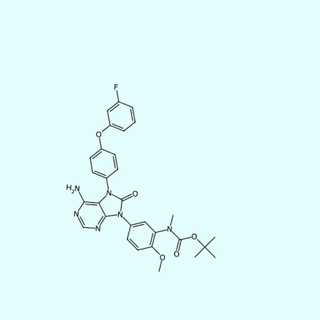 COc1ccc(-n2c(=O)n(-c3ccc(Oc4cccc(F)c4)cc3)c3c(N)ncnc32)cc1N(C)C(=O)OC(C)(C)C